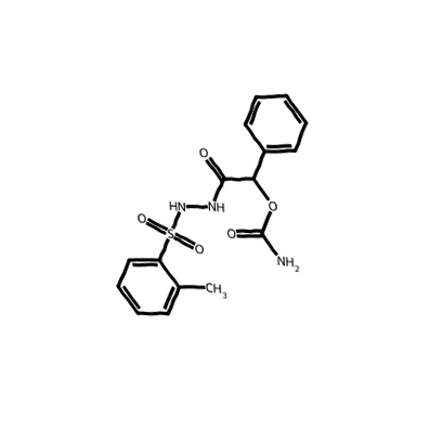 Cc1ccccc1S(=O)(=O)NNC(=O)C(OC(N)=O)c1ccccc1